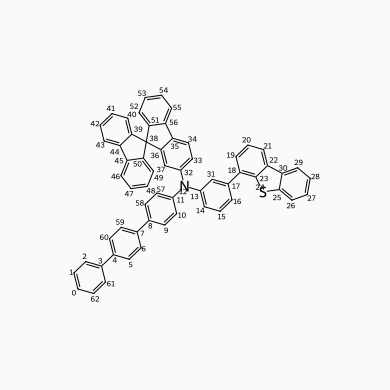 c1ccc(-c2ccc(-c3ccc(N(c4cccc(-c5cccc6c5sc5ccccc56)c4)c4ccc5c(c4)C4(c6ccccc6-c6ccccc64)c4ccccc4-5)cc3)cc2)cc1